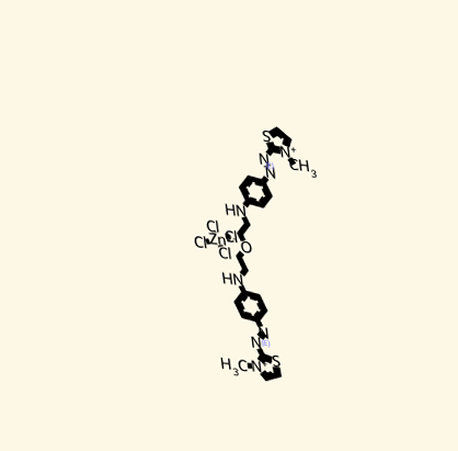 C[n+]1ccsc1/N=N/c1ccc(NCCOCCNc2ccc(/N=N/c3scc[n+]3C)cc2)cc1.[Cl][Zn-2]([Cl])([Cl])[Cl]